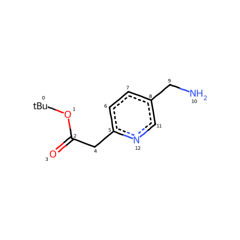 CC(C)(C)OC(=O)Cc1ccc(CN)cn1